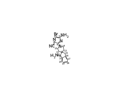 N#Cc1nc(Br)c(N)nc1N1CCC2(CC1)Cc1ccccc1[C@H]2N